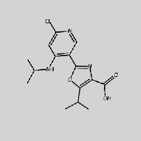 CC(C)Nc1cc(Cl)ncc1-c1nc(C(=O)O)c(C(C)C)o1